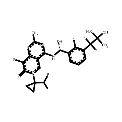 Cc1nc(N[C@H](O)c2cccc(C(F)(F)C(C)(C)O)c2F)c2cn(C3(C(F)F)CC3)c(=O)c(F)c2n1